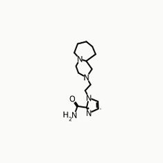 NC(=O)c1n[c]cn1CCN1CCN2CCCCCC2C1